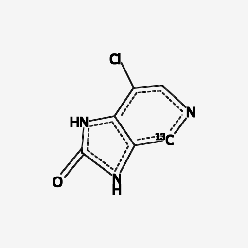 O=c1[nH]c2[13cH]ncc(Cl)c2[nH]1